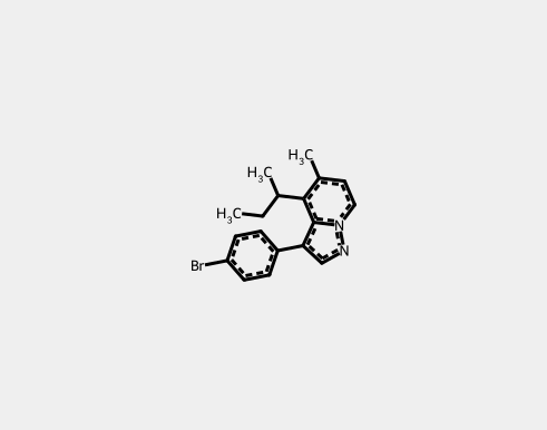 CCC(C)c1c(C)ccn2ncc(-c3ccc(Br)cc3)c12